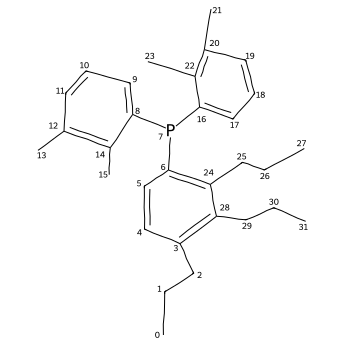 CCCc1ccc(P(c2cccc(C)c2C)c2cccc(C)c2C)c(CCC)c1CCC